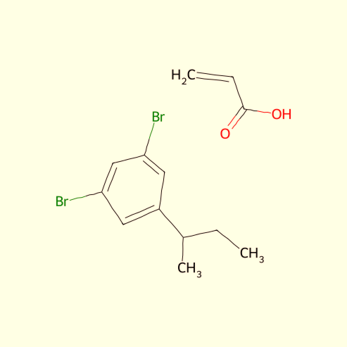 C=CC(=O)O.CCC(C)c1cc(Br)cc(Br)c1